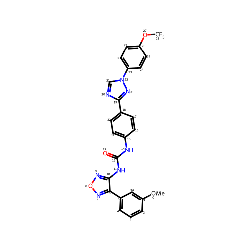 COc1cccc(-c2nonc2NC(=O)Nc2ccc(-c3ncn(-c4ccc(OC(F)(F)F)cc4)n3)cc2)c1